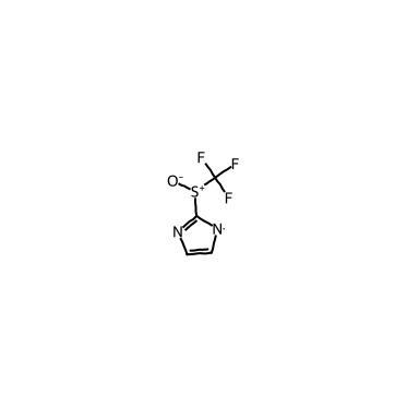 [O-][S+](C1=NC=C[N]1)C(F)(F)F